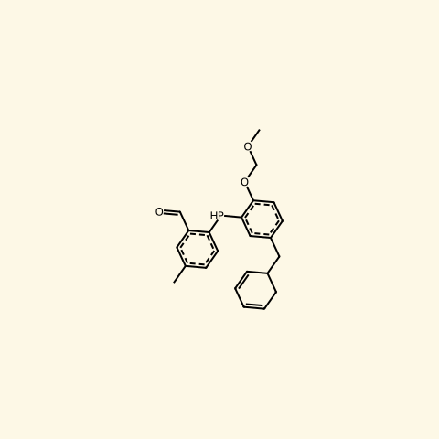 COCOc1ccc(CC2C=CC=CC2)cc1Pc1ccc(C)cc1C=O